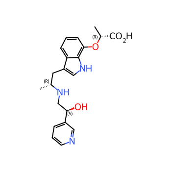 C[C@H](Cc1c[nH]c2c(O[C@H](C)C(=O)O)cccc12)NC[C@@H](O)c1cccnc1